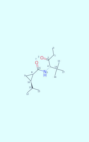 CCC(=O)[C@@H](NC(=O)C1C[C@@H]1C(C)C)C(C)(C)C